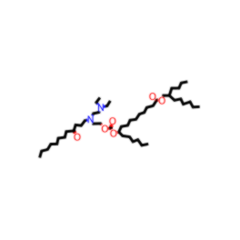 CCCCCCCCC(=O)CCCN(CCOC(=O)OC(CCCCCC)CCCCCCCCC(=O)OCC(CCCC)CCCCCC)CCN(CC)CC